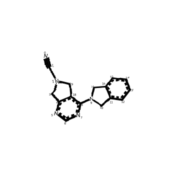 N#CN1Cc2ncnc(N3Cc4ccccc4C3)c2C1